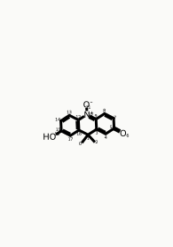 CC1(C)C2=CC(=O)C=CC2=[N+]([O-])c2ccc(O)cc21